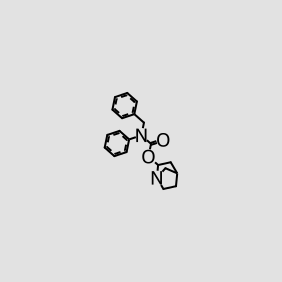 O=C(OC1CC2CCN1C2)N(Cc1ccccc1)c1ccccc1